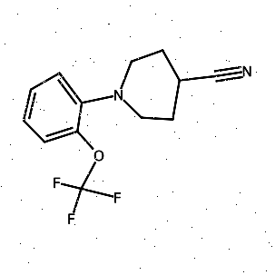 N#CC1CCN(c2ccccc2OC(F)(F)F)CC1